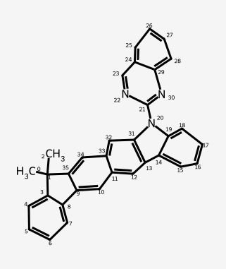 CC1(C)c2ccccc2-c2cc3cc4c5ccccc5n(-c5ncc6ccccc6n5)c4cc3cc21